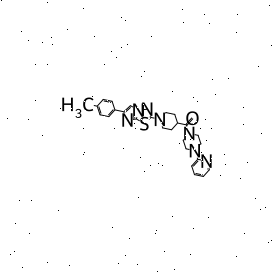 Cc1ccc(-c2cn3nc(N4CCC(C(=O)N5CCN(c6ccccn6)CC5)CC4)sc3n2)cc1